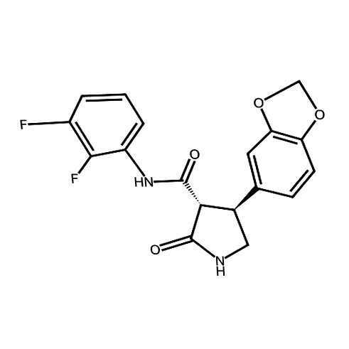 O=C1NC[C@H](c2ccc3c(c2)OCO3)[C@H]1C(=O)Nc1cccc(F)c1F